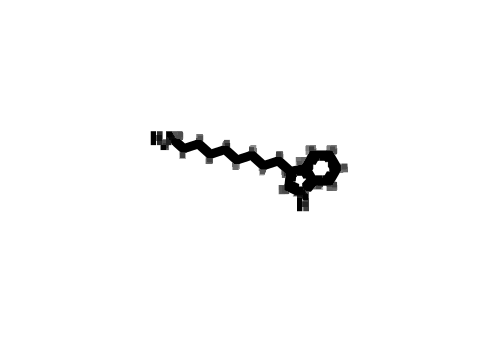 NCCCCCCCCc1c[nH]c2ccccc12